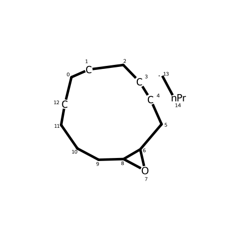 C1CCCCCC2OC2CCCC1.[CH2]CCC